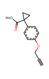 C#CCOc1ccc(C2(C(=O)OC)CC2)cc1